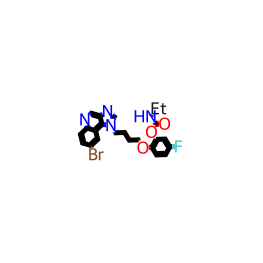 CCNC(=O)Oc1cc(F)ccc1OCCCCn1cnc2cnc3ccc(Br)cc3c21